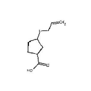 C=CCOC1CCC(C(=O)O)C1